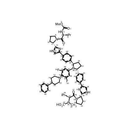 COC(=O)N[C@H](C(=O)N1CCC[C@H]1c1nc(-c2ccc([C@H]3CC[C@H](c4ccc(-c5c[nH]c([C@@H]6CCCN6C(=O)[C@H](C(C)C)N(C)C(=O)O)n5)cc4)N3c3cc(F)c(N4CCC(c5ccccc5)CC4)c(F)c3)cc2)c[nH]1)C(C)C